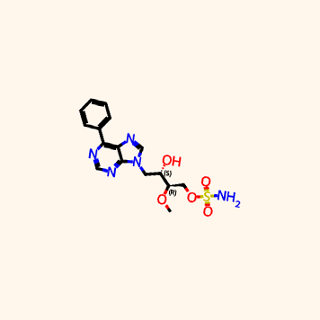 CO[C@H](COS(N)(=O)=O)[C@@H](O)Cn1cnc2c(-c3ccccc3)ncnc21